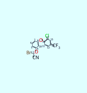 N#CC(Br)Oc1cccc(Oc2ccc(C(F)(F)F)cc2Cl)c1